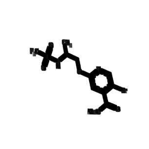 COC(=O)c1cc(OCC(C)NS(=O)(=O)C(F)(F)F)ncc1Br